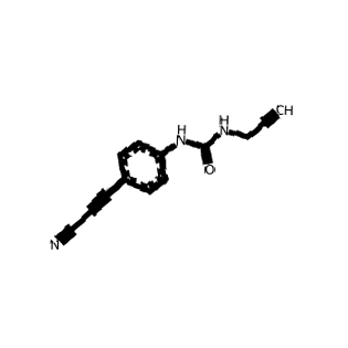 C#CCNC(=O)Nc1ccc(C#CC#N)cc1